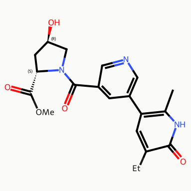 CCc1cc(-c2cncc(C(=O)N3C[C@H](O)C[C@H]3C(=O)OC)c2)c(C)[nH]c1=O